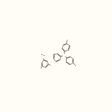 Cc1ccc([S+](c2ccccc2)c2ccc(C)cc2)cc1.O=S(=O)([O-])c1cc(C(F)(F)F)cc(C(F)(F)F)c1